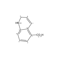 O=C(O)c1cccc2c1C=CCN2